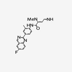 CN/C(=C\C=N)C(=O)Nc1ccc(-c2ncc3cc(F)ccc3n2)cc1C